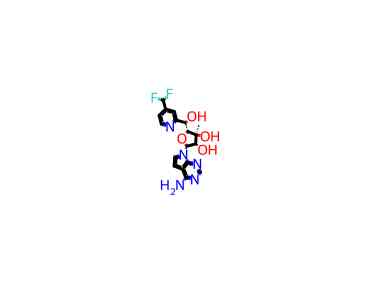 C[C@@]1(O)[C@@H](C(O)c2cc(C(F)F)ccn2)O[C@@H](n2ccc3c(N)ncnc32)[C@@H]1O